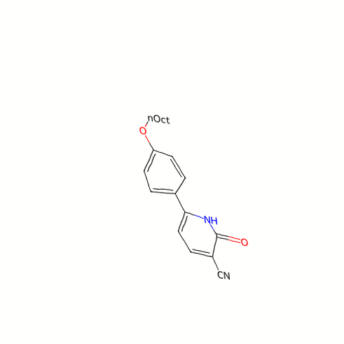 CCCCCCCCOc1ccc(-c2ccc(C#N)c(=O)[nH]2)cc1